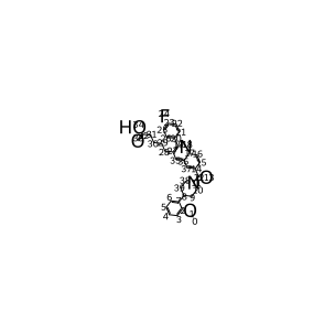 COc1ccccc1C1CCN(C(=O)c2ccc3nc(-c4ccc(F)cc4)c(CCCCC(=O)O)cc3c2)CC1